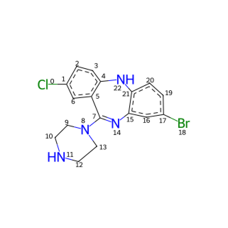 Clc1ccc2c(c1)C(N1CCNCC1)=Nc1cc(Br)ccc1N2